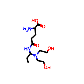 CCC(NC(=O)CCC(N)C(=O)O)N(CCO)CCO